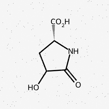 O=C1N[C@@H](C(=O)O)CC1O